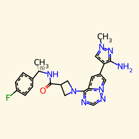 C[C@H](NC(=O)C1CN(c2ncnn3cc(-c4cn(C)nc4N)cc23)C1)c1ccc(F)cc1